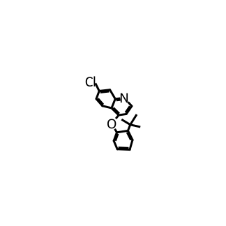 CC(C)(C)c1ccccc1Oc1ccnc2cc(Cl)ccc12